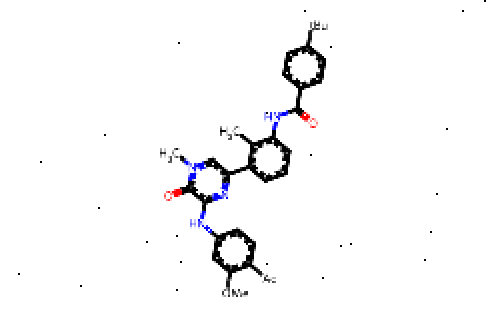 COc1cc(Nc2nc(-c3cccc(NC(=O)c4ccc(C(C)(C)C)cc4)c3C)cn(C)c2=O)ccc1C(C)=O